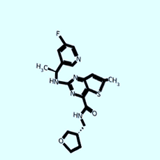 Cc1cc2nc(N[C@@H](C)c3cncc(F)c3)nc(C(=O)NC[C@@H]3CCOC3)c2s1